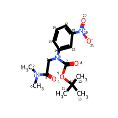 CN(C)C(=O)CN(C(=O)OC(C)(C)C)c1cccc([N+](=O)[O-])c1